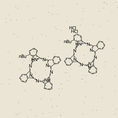 CCCCc1cccc2c3nc4nc(nc5[nH]c(nc6nc(nc([nH]3)c12)-c1ccccc1-6)c1ccccc51)-c1ccccc1-4.CCCCc1cccc2c3nc4nc(nc5[nH]c(nc6nc(nc([nH]3)c12)-c1ccccc1-6)c1ccccc51)-c1ccccc1-4.Cl.Cl